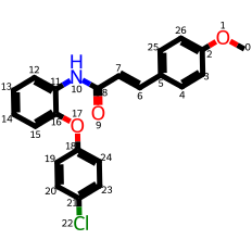 COc1ccc(/C=C/C(=O)Nc2ccccc2Oc2ccc(Cl)cc2)cc1